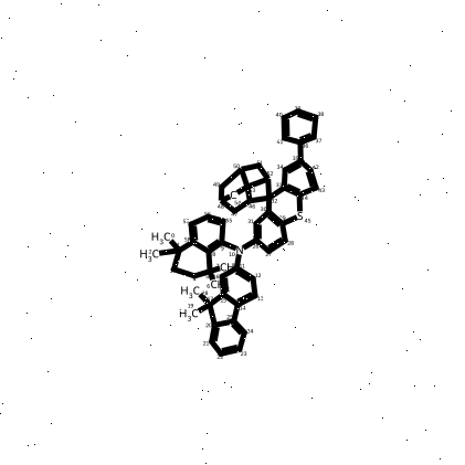 CC1(C)CCC(C)(C)c2c(N(c3ccc4c(c3)C(C)(C)c3ccccc3-4)c3ccc4c(c3)C3(c5cc(-c6ccccc6)ccc5S4)C4CC5CC6CC3C64C5)cccc21